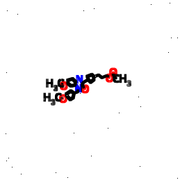 COc1ccc(Cn2c(=O)c(-c3ccc(CCCOC(C)=O)cc3)nc3ccc(OC)cc32)cc1